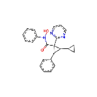 O=C(N(O)c1ccccc1)C1(c2ncccn2)C(c2ccccc2)C1C1CC1